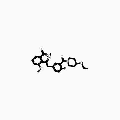 CCOC1CCN(C(=O)c2cc(Cc3n[nH]c(=O)c4cccc(OC)c34)ccc2F)CC1